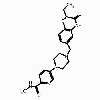 CCC1Oc2ccc(CN3CCN(c4ccc(C(=O)NC)nc4)CC3)cc2NC1=O